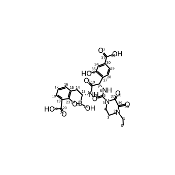 CCN1CCN(C(=O)N[C@H](C(=O)N[C@H]2Cc3cccc(C(=O)O)c3OB2O)c2ccc(C(=O)O)cc2O)C(=O)C1=O